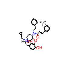 O=C(/C=C/c1cccc(C(F)(F)F)c1)N(CCc1ccccc1)C1CC[C@@]2(O)[C@H]3Cc4ccc(O)c5c4[C@@]2(CCN3CC2CC2)C1O5